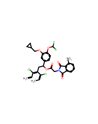 C=C/C(Cl)=C(CC(OC(=O)CN1C(=O)c2cccc([N+](=O)[O-])c2C1=O)c1ccc(OC(F)F)c(OCC2CC2)c1)\C(Cl)=C/C